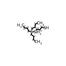 CCCCS(CCCC)(CCCC)[SiH2]CCCS